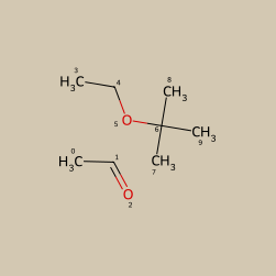 CC=O.CCOC(C)(C)C